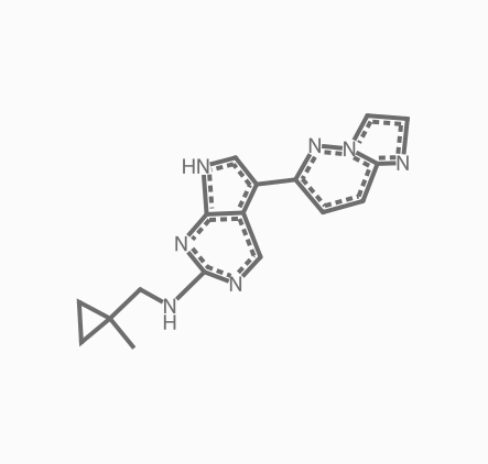 CC1(CNc2ncc3c(-c4ccc5nccn5n4)c[nH]c3n2)CC1